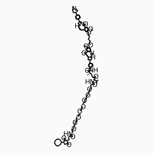 COc1cc2c(cc1OCCCCCOc1cc3c(cc1OC)C(=O)/C=C1/C=C(c4ccc(NC(=O)[C@H](C)CCC(=O)[C@@H](NC(=O)CCOCCOCCOCCOCCOCCOCCOCCOCCNC(=O)CCC5C(=O)CC(C6CCCCCCCC6)C5=O)C(C)C)cc4)C[C@H]1/C=N\3)C=C=C[C@@H]1CC(c3ccc(C4CCN(C)CC4)cc3)=CN1C2=O